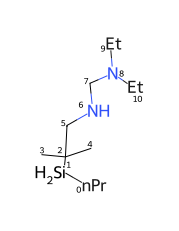 CCC[SiH2]C(C)(C)CNCN(CC)CC